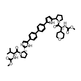 COC(=O)N[C@H](C(=O)N1CCC[C@H]1c1ncc(-c2ccc(-c3ccc(-c4ccc(C5CCCN5C(=O)[C@@H](NC(=O)OC)C5CCOCC5)[nH]4)cc3)cc2)[nH]1)C(C)C